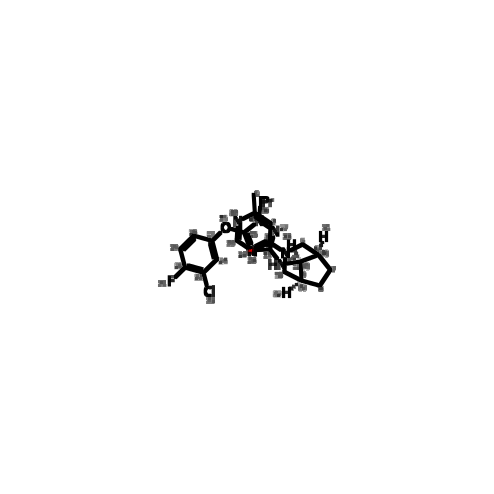 Cc1cc(N2C[C@H]3CC[C@@H](C2)[C@H]3Nc2nc(Oc3ccc(F)c(Cl)c3)n(C(C)C)n2)ncn1